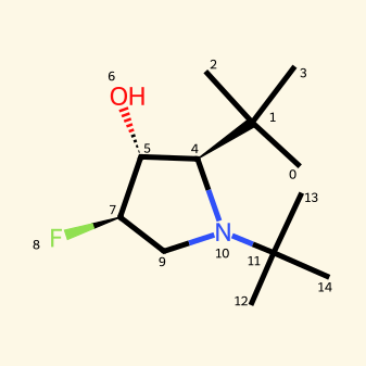 CC(C)(C)[C@@H]1[C@@H](O)[C@H](F)CN1C(C)(C)C